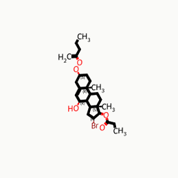 C=C(CCC)OO[C@H]1CC[C@@]2(C)C(=C[C@H](O)C3C4C[C@@H](Br)C(OC(=O)CC)[C@@]4(C)CCC32)C1